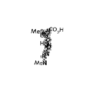 CNCCCN(C)c1ccc(-c2ccnc(Nc3cccc(CN4CCN(CC(=O)O)CC4C(=O)OC)c3)n2)cn1